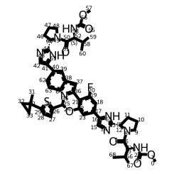 COC(=O)N[C@H](C(=O)N1CCC[C@H]1c1ncc(-c2cc(F)c3c(c2)OC(c2ccc(C4(C)CC4)s2)n2c-3cc3cc(-c4cnc([C@@H]5CCCN5C(=O)[C@@H](NC(=O)OC)C(C)C)[nH]4)ccc32)[nH]1)C(C)C